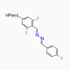 CCCCCc1cc(F)c(C=NN=Cc2ccc(F)cc2)c(F)c1